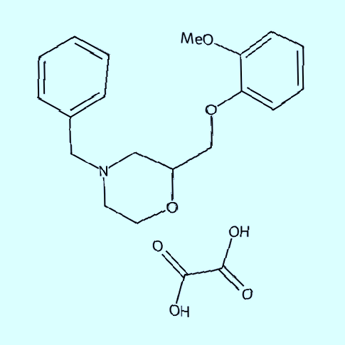 COc1ccccc1OCC1CN(Cc2ccccc2)CCO1.O=C(O)C(=O)O